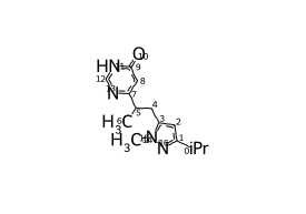 CC(C)c1cc(CC(C)c2cc(=O)[nH]cn2)n(C)n1